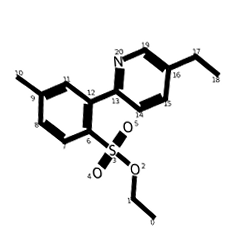 CCOS(=O)(=O)c1ccc(C)cc1-c1ccc(CC)cn1